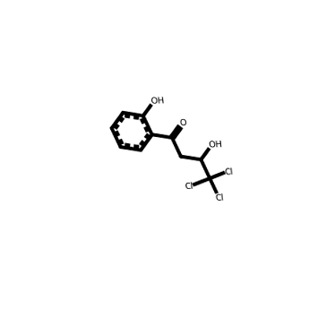 O=C(CC(O)C(Cl)(Cl)Cl)c1ccccc1O